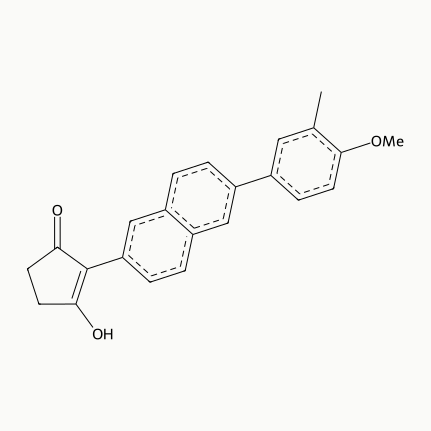 COc1ccc(-c2ccc3cc(C4=C(O)CCC4=O)ccc3c2)cc1C